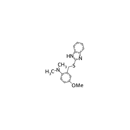 COc1ccc(N(C)C)c(CSc2nc3ccccc3[nH]2)c1